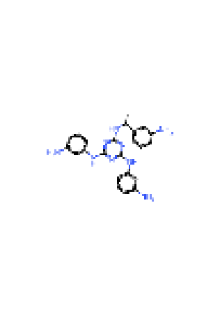 CC(Nc1nc(Nc2cccc(N)c2)nc(Nc2cccc(N)c2)n1)c1cccc(N)c1